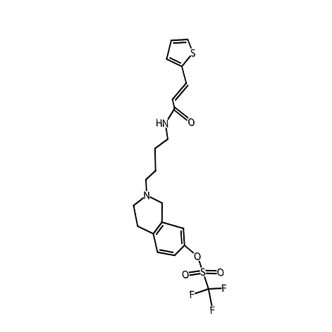 O=C(C=Cc1cccs1)NCCCCN1CCc2ccc(OS(=O)(=O)C(F)(F)F)cc2C1